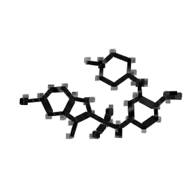 COc1ccc(NS(=O)(=O)c2sc3ccc(Cl)cc3c2C)cc1NC1CCN(C)CC1